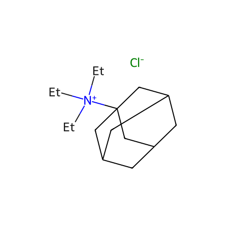 CC[N+](CC)(CC)C12CC3CC(CC(C3)C1)C2.[Cl-]